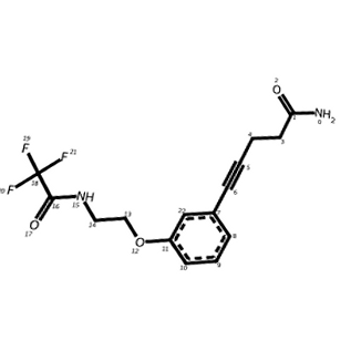 NC(=O)CCC#Cc1cccc(OCCNC(=O)C(F)(F)F)c1